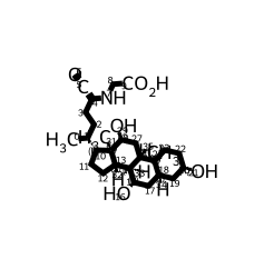 CC(CCC(=C=O)NCC(=O)O)[C@H]1CC[C@H]2[C@@H]3[C@H](O)C[C@@H]4C[C@H](O)CC[C@]4(C)[C@H]3C[C@H](O)[C@]12C